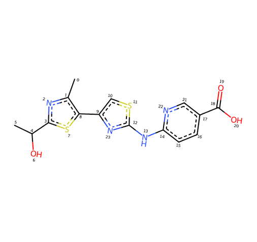 Cc1nc(C(C)O)sc1-c1csc(Nc2ccc(C(=O)O)cn2)n1